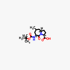 CC1C[C@H]2CC[C@@H](C(=O)O)N2C(=O)[C@@H](NC(=O)OC(C)(C)C)C1